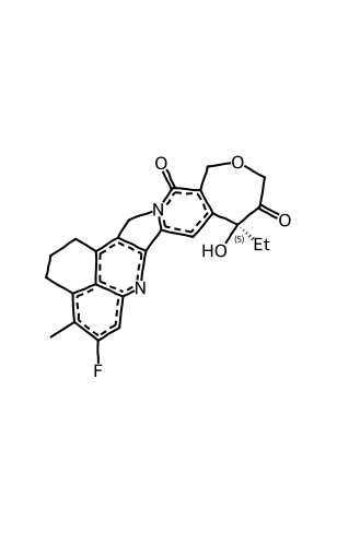 CC[C@@]1(O)C(=O)COCc2c1cc1n(c2=O)Cc2c-1nc1cc(F)c(C)c3c1c2CCC3